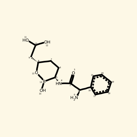 N[C@@H](C(=O)N[C@H]1CC[C@@H](CC(O)O)OB1O)c1ccccc1